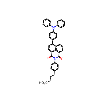 O=C(O)CCCc1ccc(N2C(=O)c3cccc4c(-c5ccc(N(c6ccccc6)c6ccccc6)cc5)ccc(c34)C2=O)cc1